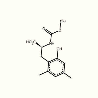 Cc1cc(C)c(C[C@H](NC(=O)OC(C)(C)C)C(=O)O)c(O)c1